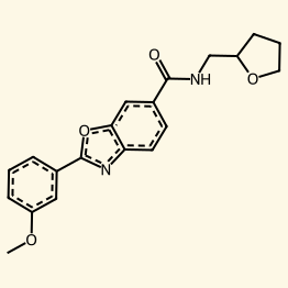 COc1cccc(-c2nc3ccc(C(=O)NCC4CCCO4)cc3o2)c1